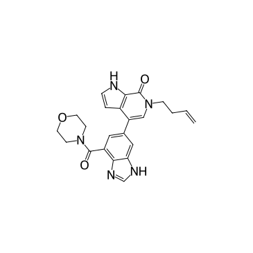 C=CCCn1cc(-c2cc(C(=O)N3CCOCC3)c3nc[nH]c3c2)c2cc[nH]c2c1=O